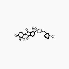 O=C1CCC(N2C(=O)c3ccc(C4(O)CCN(Cc5cccc(Cl)c5)CC4)cc3C2=O)C(=O)N1